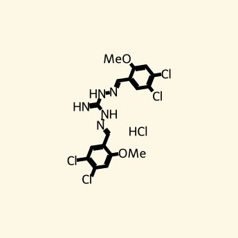 COc1cc(Cl)c(Cl)cc1/C=N/NC(=N)N/N=C/c1cc(Cl)c(Cl)cc1OC.Cl